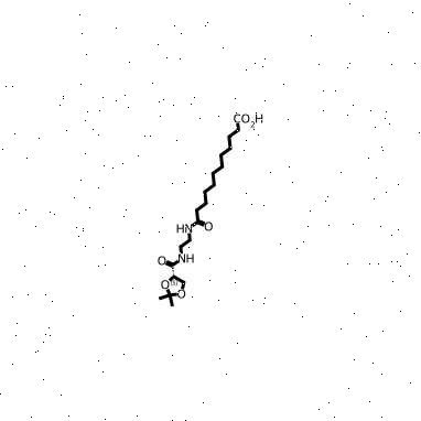 CC1(C)OC[C@@H](C(=O)NCCNC(=O)CCCCCCCCCCC(=O)O)O1